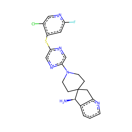 N[C@@H]1c2cccnc2CC12CCN(c1cnc(Sc3cc(F)ncc3Cl)cn1)CC2